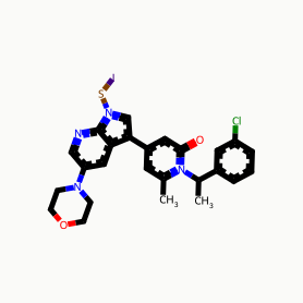 Cc1cc(-c2cn(SI)c3ncc(N4CCOCC4)cc23)cc(=O)n1C(C)c1cccc(Cl)c1